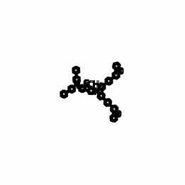 CC1(C)c2cc(N(c3ccc(-c4ccccc4)cc3)c3ccc(-c4ccccc4)cc3)ccc2-c2ccc(-n3c4ccc(-c5ccc(-c6ccc7oc8ccccc8c7c6)cc5)cc4c4cc(-c5ccc(-c6ccc7oc8ccccc8c7c6)cc5)ccc43)cc21